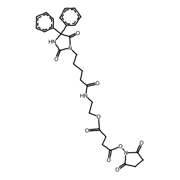 O=C(CCCCN1C(=O)NC(c2ccccc2)(c2ccccc2)C1=O)NCCOC(=O)CCC(=O)ON1C(=O)CCC1=O